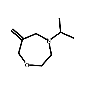 C=C1COCCN(C(C)C)C1